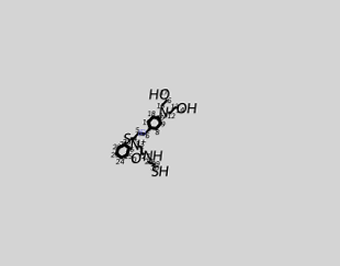 O=C(C[n+]1c(/C=C/c2ccc(N(CCO)CCO)cc2)sc2ccccc21)NCCS